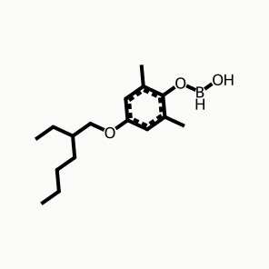 CCCCC(CC)COc1cc(C)c(OBO)c(C)c1